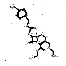 COCOCC1=C(C(=O)OCC(Cl)(Cl)Cl)N2C(=O)C(NC(=O)OCc3ccc([N+](=O)[O-])cc3)[C@H]2SC1